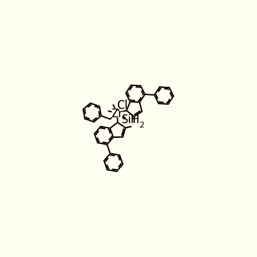 CC1=Cc2c(-c3ccccc3)cccc2[CH]1[Zr]([CH3])([CH3])(=[SiH2])([Cl])([CH2]c1ccccc1)[CH]1C(C)=Cc2c(-c3ccccc3)cccc21